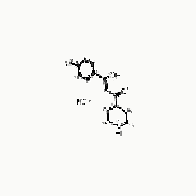 Cl.O=C(C=C(O)c1ccc(Cl)cc1)C1CCNCC1